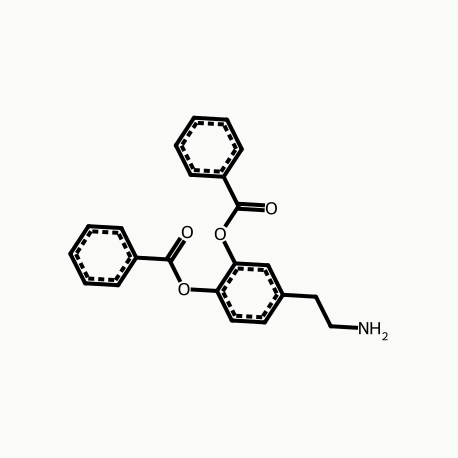 NCCc1ccc(OC(=O)c2ccccc2)c(OC(=O)c2ccccc2)c1